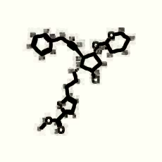 COC(=O)c1ccc(CCC[C@@H]2[C@@H](C#CCc3ccccc3)[C@H](OC3CCCCO3)C[C@H]2Cl)s1